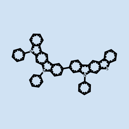 c1ccc(-n2c3cc(-c4ccc5c(c4)c4cc6c7ccccc7n(-c7ccccc7)c6cc4n5-c4ccccc4)ccc3c3cc4c(cc32)sc2ccccc24)cc1